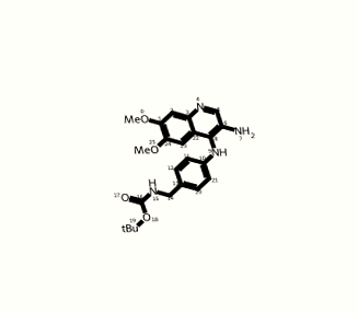 COc1cc2ncc(N)c(Nc3ccc(CNC(=O)OC(C)(C)C)cc3)c2cc1OC